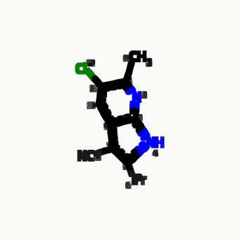 Cc1nc2[nH]c(C(C)C)c(C#N)c2cc1Cl